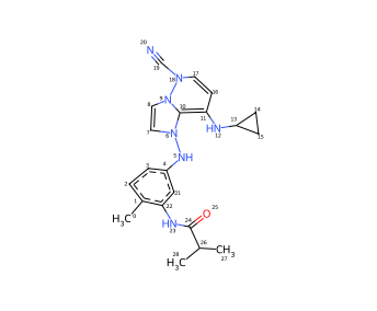 Cc1ccc(NN2C=CN3C2=C(NC2CC2)C=CN3C#N)cc1NC(=O)C(C)C